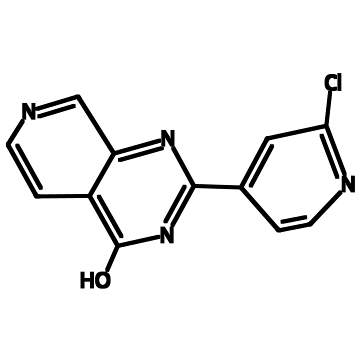 Oc1nc(-c2ccnc(Cl)c2)nc2cnccc12